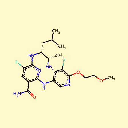 COCCOc1ncc(Nc2nc(N[C@H](CC(C)C)[C@H](C)N)c(F)cc2C(N)=O)cc1F